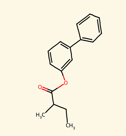 CCC(C)C(=O)Oc1cccc(-c2ccccc2)c1